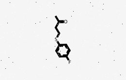 CC(=O)CCSc1ccc(F)cc1